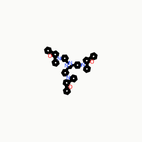 c1cc(-c2cc(-c3ccc(-n4c5ccccc5c5c6oc7ccccc7c6ccc54)cc3)nc(-c3cccc(-n4c5ccccc5c5c6oc7ccccc7c6ccc54)c3)n2)cc(-n2c3ccccc3c3c4oc5ccccc5c4ccc32)c1